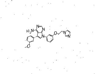 COc1cccc(-c2cn(-c3cccc(OCCn4ccnc4)c3)c3ncnc(N)c23)c1